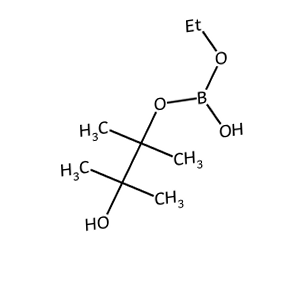 CCOB(O)OC(C)(C)C(C)(C)O